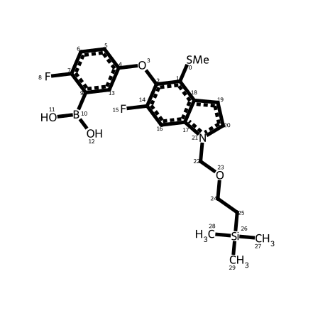 CSc1c(Oc2ccc(F)c(B(O)O)c2)c(F)cc2c1ccn2COCC[Si](C)(C)C